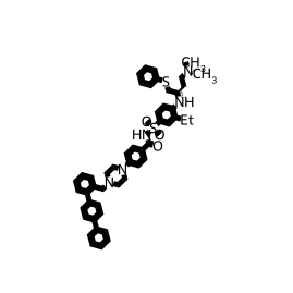 CCc1cc(S(=O)(=O)NC(=O)c2ccc(N3CCN(Cc4ccccc4-c4ccc(-c5ccccc5)cc4)CC3)cc2)ccc1N[C@H](CCN(C)C)CSc1ccccc1